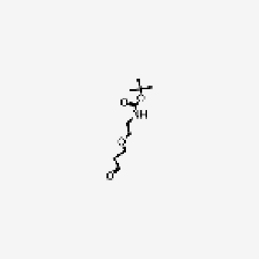 CC(C)(C)OC(=O)NCCOCCC=O